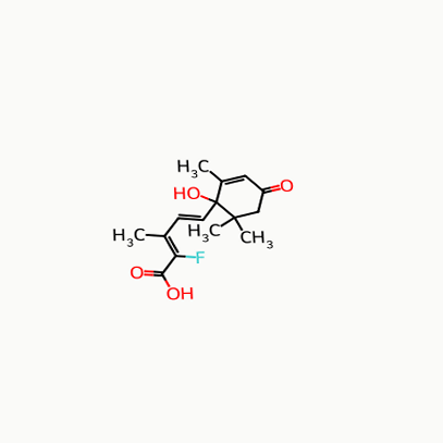 CC1=CC(=O)CC(C)(C)C1(O)C=CC(C)=C(F)C(=O)O